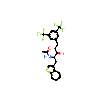 CC(=O)NC(Cc1csc2ccccc12)C(=O)CCc1cc(C(F)(F)F)cc(C(F)(F)F)c1